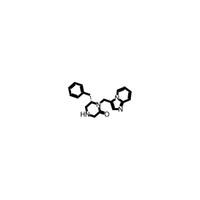 O=C1CNC[C@H](Cc2ccccc2)N1Cc1cnc2ccccn12